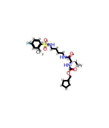 CC(C)C[C@H](NC(=O)OCC1CCCC1)C(=O)NCCCCNS(=O)(=O)c1ccc(F)cc1C(F)(F)F